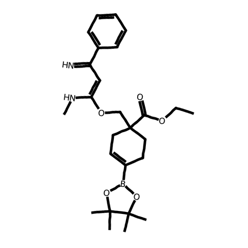 CCOC(=O)C1(CO/C(=C/C(=N)c2ccccc2)NC)CC=C(B2OC(C)(C)C(C)(C)O2)CC1